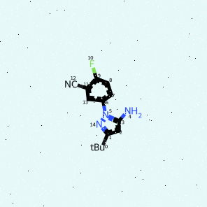 CC(C)(C)c1cc(N)n(-c2ccc(F)c(C#N)c2)n1